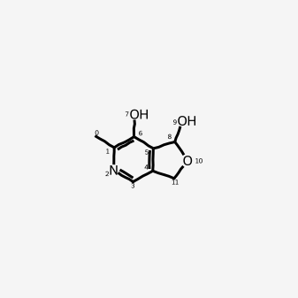 Cc1ncc2c(c1O)C(O)OC2